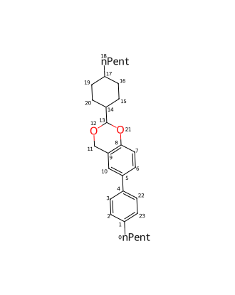 CCCCCc1ccc(-c2ccc3c(c2)COC(C2CCC(CCCCC)CC2)O3)cc1